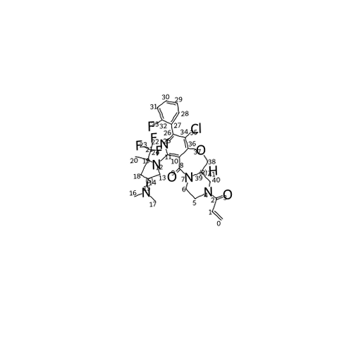 C=CC(=O)N1CCN2C(=O)c3c(N4C[C@@H](N(C)C)CC4(C)C(F)(F)F)nc(-c4ccccc4F)c(Cl)c3OC[C@H]2C1